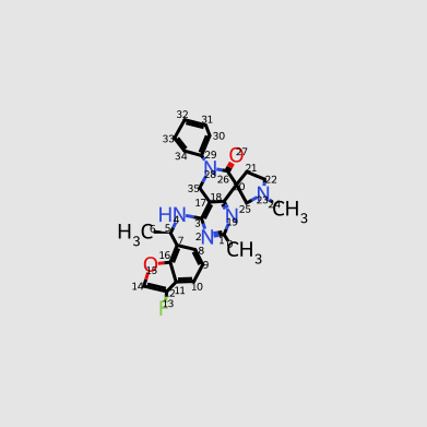 Cc1nc(N[C@H](C)c2cccc3c(F)coc23)c2c(n1)C1(CCN(C)C1)C(=O)N(c1ccccc1)C2